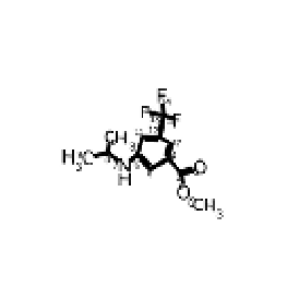 COC(=O)c1cc(NC(C)C)cc(C(F)(F)F)c1